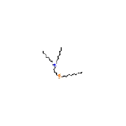 C=P(C)(CC/C=C\CN(CCCCCCCC)CCCCCCCC)CCCCCCCCCC